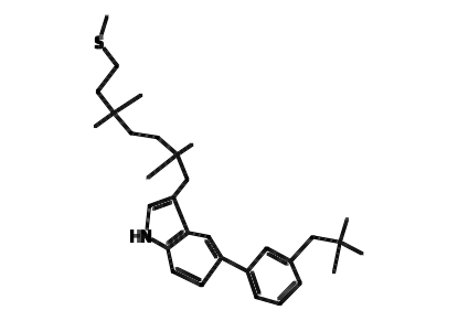 CSCCC(C)(C)CCC(C)(C)Cc1c[nH]c2ccc(-c3cccc(CC(C)(C)C)c3)cc12